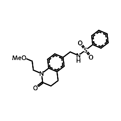 COCCN1C(=O)CCc2cc(CNS(=O)(=O)c3ccccc3)ccc21